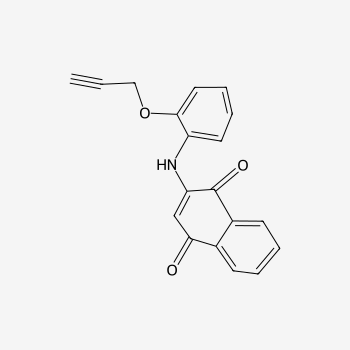 C#CCOc1ccccc1NC1=CC(=O)c2ccccc2C1=O